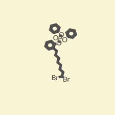 O=P(Oc1ccccc1)(Oc1ccccc1)Oc1ccccc1CCCCCCCC(Br)Br